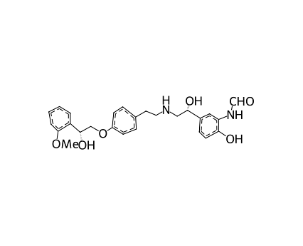 COc1ccccc1[C@@H](O)COc1ccc(CCNC[C@H](O)c2ccc(O)c(NC=O)c2)cc1